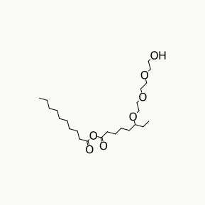 CCCCCCCCCC(=O)OC(=O)CCCCC(CC)OCCOCCOCCO